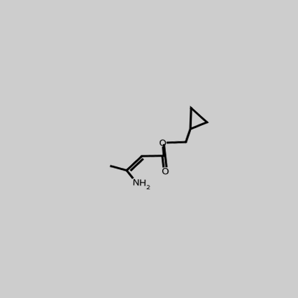 C/C(N)=C/C(=O)OCC1CC1